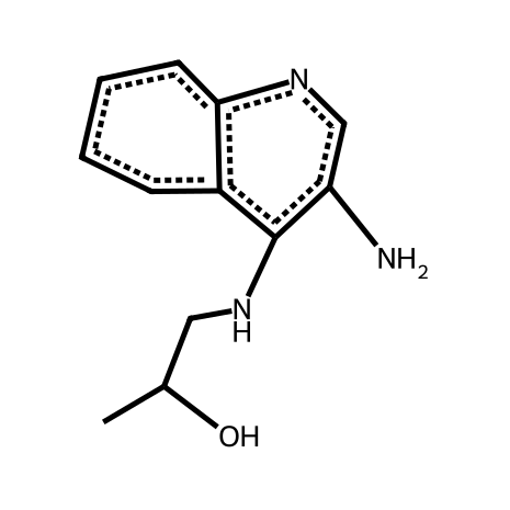 CC(O)CNc1c(N)cnc2ccccc12